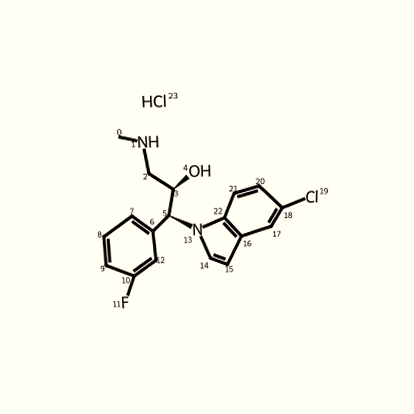 CNC[C@@H](O)[C@H](c1cccc(F)c1)n1ccc2cc(Cl)ccc21.Cl